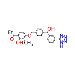 CCC(=O)c1ccc(OCc2ccc([C@@H](O)c3cccc(-c4nnn[nH]4)c3)cc2)c(C)c1O